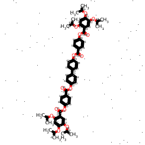 CC(C)Oc1cc(OC(C)C)c(C(=O)Oc2ccc(C(=O)Oc3ccc(-c4ccc(OC(=O)c5ccc(OC(=O)c6cc(OC(C)C)c(OC(C)C)cc6OC(C)C)cc5)cc4)cc3)cc2)cc1OC(C)C